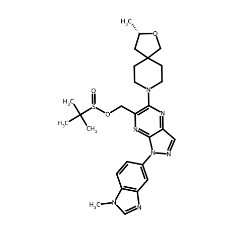 C[C@H]1CC2(CCN(c3nc4cnn(-c5ccc6c(c5)ncn6C)c4nc3COS(=O)C(C)(C)C)CC2)CO1